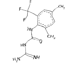 Cc1cc(C)c(NC(=O)NC(=N)N)c(C(F)(F)F)c1